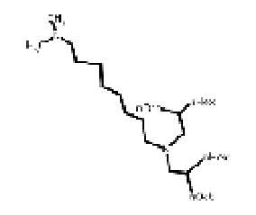 CCCCCCCCC(CCCCCC)CN(CCCCCCCCN(C)C)CC(CCCCCC)CCCCCCCC